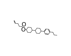 C=CCCC(=O)OC1CCC(C2CCC(c3ccc(CCC)cc3)CC2)CC1